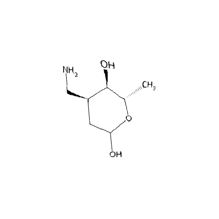 C[C@@H]1OC(O)C[C@@H](CN)[C@H]1O